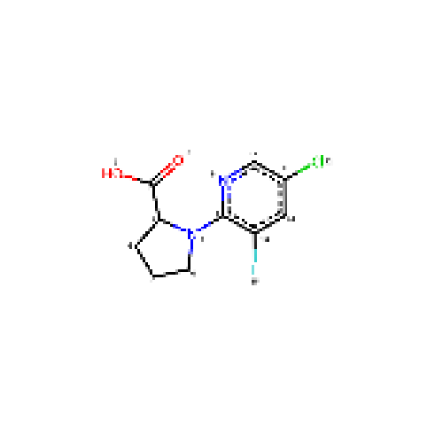 O=C(O)C1CCCN1c1ncc(Cl)cc1F